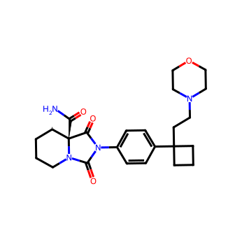 NC(=O)[C@]12[CH]CCCN1C(=O)N(c1ccc(C3(CCN4CCOCC4)CCC3)cc1)C2=O